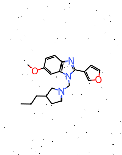 CCCC1CCN(Cn2c(-c3ccoc3)nc3ccc(OC)cc32)C1